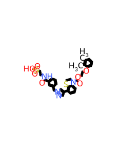 Cc1cccc(OCCOC(=O)N2CCSc3c(-c4cnn(Cc5cccc(C(=O)NCCS(=O)(=O)O)c5)c4)cccc32)c1C